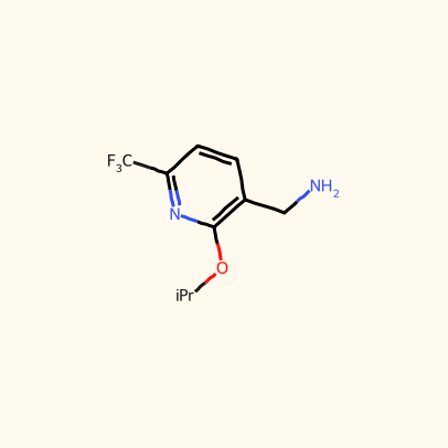 CC(C)Oc1nc(C(F)(F)F)ccc1CN